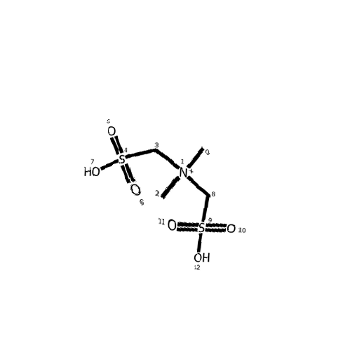 C[N+](C)(CS(=O)(=O)O)CS(=O)(=O)O